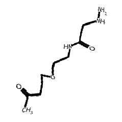 CC(=O)CCOCCNC(=O)CNN